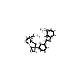 Cn1cnnc1CC1(c2cccc(-c3nc4cccc(C(F)(F)F)c4o3)c2)COC1